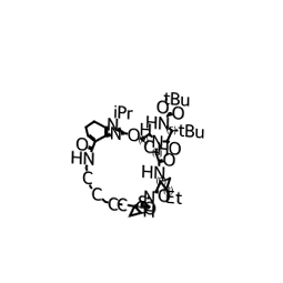 CC[C@@H]1C[C@@]12NC(=O)[C@@H]1C[C@H](CN1C(=O)[C@@H](NC(=O)OC(C)(C)C)C(C)(C)C)Oc1nc3c(n1C(C)C)CCC=C3C(=O)NCCCCCCCC1(CC1)S(=O)(=O)NC2=O